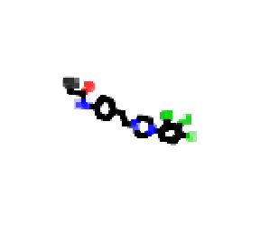 N#CCC(=O)NC1CCC(CCN2CCN(c3ccc(Cl)c(Cl)c3Cl)CC2)CC1